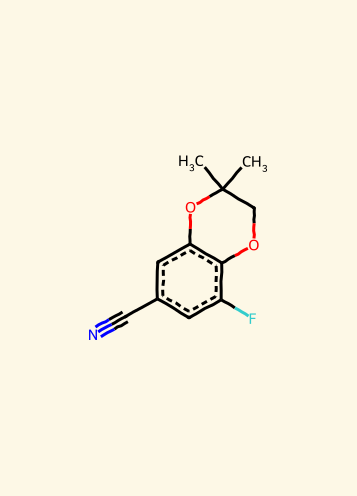 CC1(C)COc2c(F)cc(C#N)cc2O1